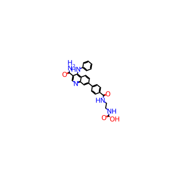 NC(=O)c1cnc2cc(-c3ccc(C(=O)NCCNC(=O)O)cc3)ccc2c1Nc1ccccc1